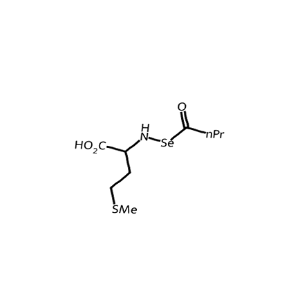 CCCC(=O)[Se]NC(CCSC)C(=O)O